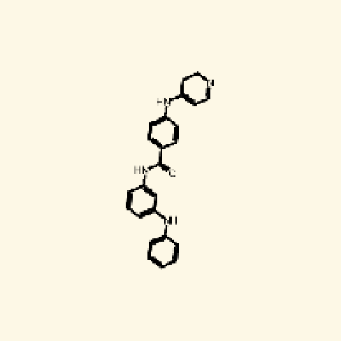 O=C(Nc1cccc(Nc2ccccc2)c1)c1ccc(NC2=CC=NCC2)cc1